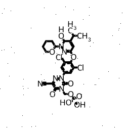 CC(C)C1=CC(Oc2c(Cl)cc(-n3nc(C#N)c(=O)n(COP(=O)(O)O)c3=O)cc2Cl)=NN(C2CCCCO2)C1O